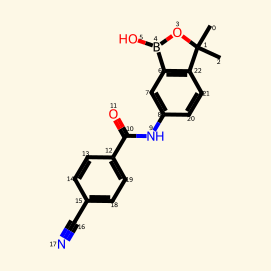 CC1(C)OB(O)c2cc(NC(=O)c3ccc(C#N)cc3)ccc21